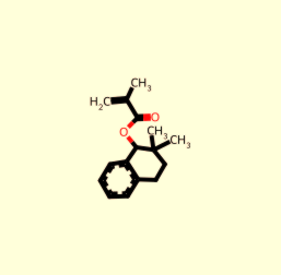 C=C(C)C(=O)OC1c2ccccc2CCC1(C)C